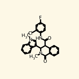 CN1C(=O)c2ccccc2C(C(=O)Nc2ccc(F)cc2Cl)C1c1cn(C)c2ccccc12